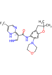 CC1(C)Cc2cc(NC(=O)/C(C=N)=C3\N=CC(C(F)(F)F)=CN3)c(N3CCOCC3)cc2O1